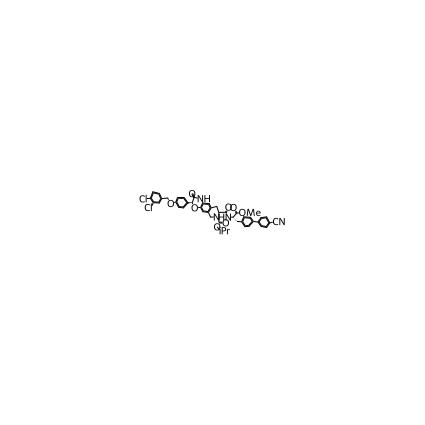 COC(=O)[C@H](Cc1ccc(-c2ccc(C#N)cc2)cc1)NC(=O)C1Cc2cc3c(cc2CN1C(=O)OC(C)C)O[C@@H](c1ccc(OCc2ccc(Cl)c(Cl)c2)cc1)C(=O)N3